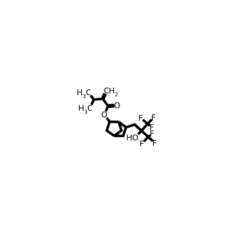 C=C(C(=O)OC1CC2CC(CC(O)(C(F)(F)F)C(F)(F)F)C1C2)C(C)C